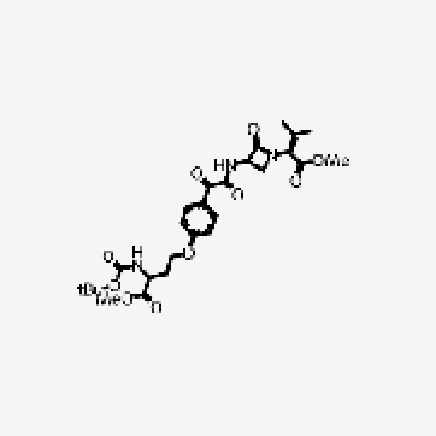 COC(=O)C(=C(C)C)N1CC(NC(=O)C(=O)c2ccc(OCCC(NC(=O)OC(C)(C)C)C(=O)OC)cc2)C1=O